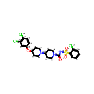 O=C(NS(=O)(=O)c1ccccc1Cl)N1CCC(N2CCC(Oc3ccc(Cl)c(Cl)c3)CC2)CC1